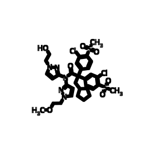 COCCn1ccc(N(C(=O)C(CC2CCCC2)(c2ccc(S(C)(=O)=O)c(Cl)c2)c2ccc(S(C)(=O)=O)c(Cl)c2)c2ccn(CCO)n2)n1